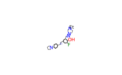 CCN1CCN(/N=C/c2cc(/C=C/c3ccc(N4CCCC4)cc3)cc(F)c2O)CC1